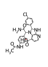 CC(=O)Nc1ccc(C(C(N)=O)N2c3c(C(=O)O)ccnc3NC2c2ccc(Cl)cc2)cc1